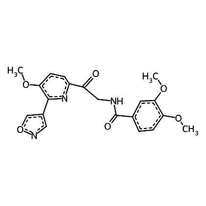 COc1ccc(C(=O)NCC(=O)c2ccc(OC)c(-c3cnoc3)n2)cc1OC